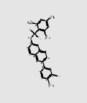 Cc1cc(C)c(C(F)(F)Oc2ccc3cc(-c4ccc(C)c(F)c4)ccc3c2)c(C)c1